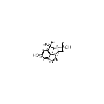 CC1(O)CC(n2nnc3cc(O)cc(C(F)(F)F)c32)C1